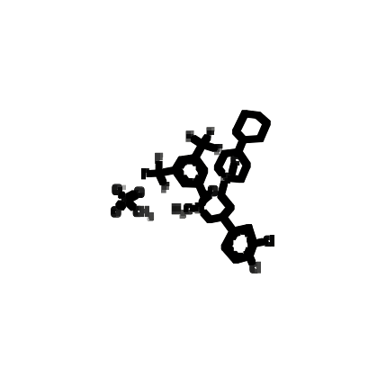 CN(CC(CC[N+]12CCC(C3CCCCC3)(CC1)CC2)c1ccc(Cl)c(Cl)c1)C(=O)c1cc(C(F)(F)F)cc(C(F)(F)F)c1.CS(=O)(=O)[O-]